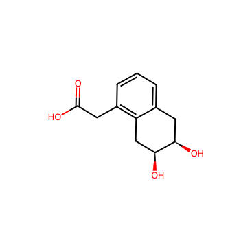 O=C(O)Cc1cccc2c1C[C@H](O)[C@H](O)C2